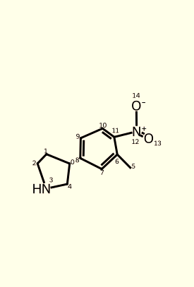 C1CCNC1.Cc1ccccc1[N+](=O)[O-]